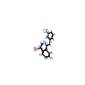 Clc1cccc(Cc2ncc(Br)c3ccccc23)c1